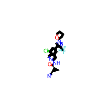 N#C[C@@H]1C[C@H]1C(=O)Nc1cc2cc(-c3cn([C@H]4CCCCO4)nc3C(F)(F)F)cc(Cl)c2cn1